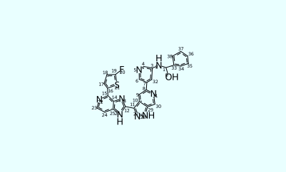 OC(Nc1cncc(-c2cc3c(-c4nc5c(-c6ccc(F)s6)nccc5[nH]4)n[nH]c3cn2)c1)c1ccccc1